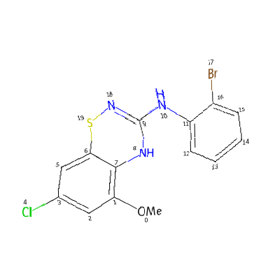 COc1cc(Cl)cc2c1NC(Nc1ccccc1Br)=NS2